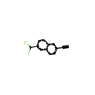 C#Cc1ccc2cc([C](F)F)ccc2c1